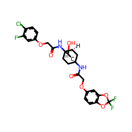 O=C(COc1ccc2c(c1)OC(F)(F)O2)NC12CCC(NC(=O)COc3ccc(Cl)c(F)c3)(CC1)[C@@H](O)C2